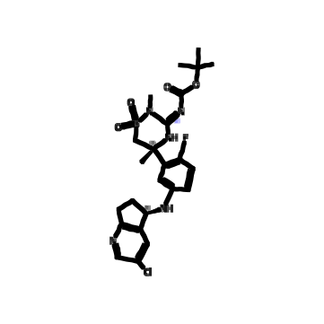 CN1/C(=N\C(=O)OC(C)(C)C)N[C@](C)(c2cc(N[C@@H]3CCc4ncc(Cl)cc43)ccc2F)CS1(=O)=O